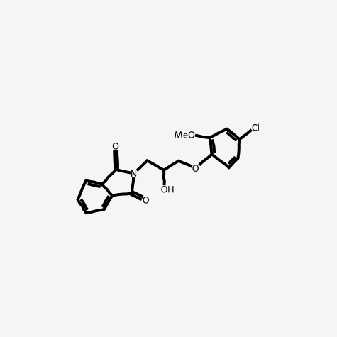 COc1cc(Cl)ccc1OCC(O)CN1C(=O)c2ccccc2C1=O